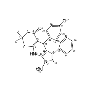 CC1(C)CC(=O)C2=C(C1)Nc1c(c(-c3ccccc3)nn1C(C)(C)C)C2c1ccc(Cl)cc1